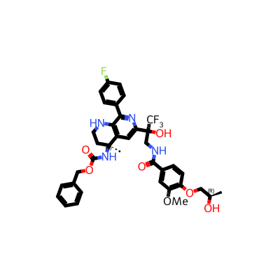 COc1cc(C(=O)NCC(O)(c2cc3c(c(-c4ccc(F)cc4)n2)NCC[C@]3(C)NC(=O)OCc2ccccc2)C(F)(F)F)ccc1OC[C@@H](C)O